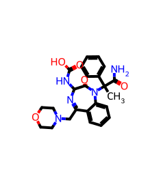 CC(C(N)=O)(c1ccccc1)N1C(=O)C(NC(=O)O)N=C(CN2CCOCC2)c2ccccc21